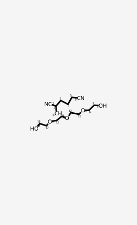 CC(C#N)CCCC#N.OCCOCCOCCOCCO